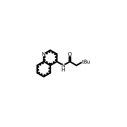 CC(C)(C)CC(=O)Nc1ccnc2ccccc12